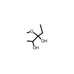 CCC(O)(OC)C(C)O